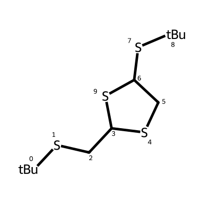 CC(C)(C)SCC1SCC(SC(C)(C)C)S1